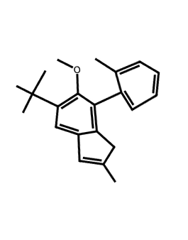 COc1c(C(C)(C)C)cc2c(c1-c1ccccc1C)CC(C)=C2